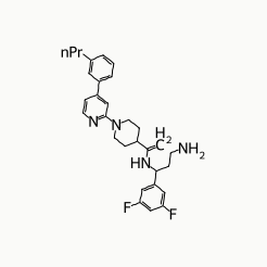 C=C(NC(CCN)c1cc(F)cc(F)c1)C1CCN(c2cc(-c3cccc(CCC)c3)ccn2)CC1